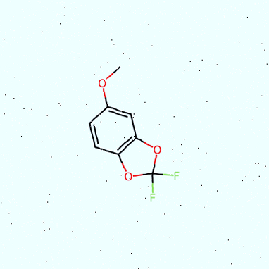 COc1[c]c2c(cc1)OC(F)(F)O2